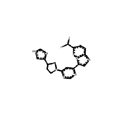 FC(F)c1ccc2ncc(-c3cc(N4CCC(c5c[nH]cn5)C4)ncn3)n2n1